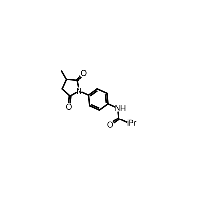 CC(C)C(=O)Nc1ccc(N2C(=O)CC(C)C2=O)cc1